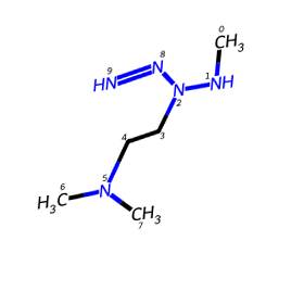 CNN(CCN(C)C)N=N